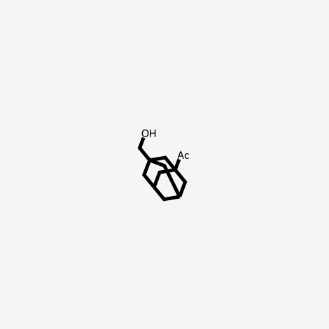 CC(=O)C12CC3CC(CC(CO)(C3)C1)C2